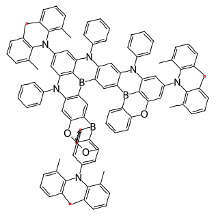 Cc1cccc(C)c1N(c1cc2c3c(c1)Oc1cc4c(cc1B3c1ccccc1O2)B1c2cc3c(cc2N(c2ccccc2)c2cc(N(c5c(C)cccc5C)c5c(C)cccc5C)cc(c21)N4c1ccccc1)N(c1ccccc1)c1cc(N(c2c(C)cccc2C)c2c(C)cccc2C)cc2c1B3c1ccccc1O2)c1c(C)cccc1C